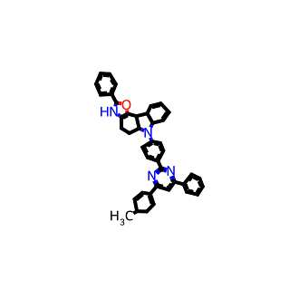 CC1C=CC(c2cc(-c3ccccc3)nc(-c3ccc(N4C5C=CC=CC5C5C6=C(CCC54)NC(c4ccccc4)O6)cc3)n2)=CC1